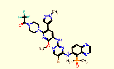 COc1nc(N2CCN(C(=O)C(F)(F)F)CC2)c(-c2cnn(C)c2)cc1Nc1ncc(Br)c(Nc2ccc3nccnc3c2P(C)(C)=O)n1